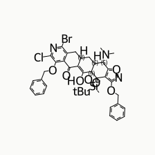 CN(C)[C@@H]1c2onc(OCc3ccccc3)c2C(=O)[C@@]2(O[Si](C)(C)C(C)(C)C)C(O)=C3C(=O)c4c(c(Br)nc(Cl)c4OCc4ccccc4)C[C@H]3C[C@@H]12